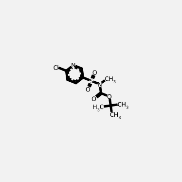 CN(C(=O)OC(C)(C)C)S(=O)(=O)c1ccc(Cl)nc1